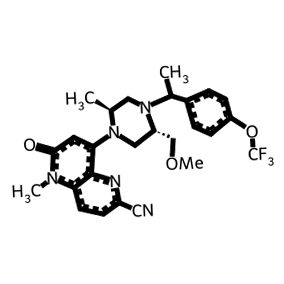 COC[C@@H]1CN(c2cc(=O)n(C)c3ccc(C#N)nc23)[C@@H](C)CN1C(C)c1ccc(OC(F)(F)F)cc1